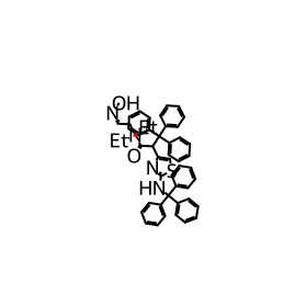 CC[N+](CC)(C/C=N\O)C(=O)C(c1csc(NC(c2ccccc2)(c2ccccc2)c2ccccc2)n1)C(c1ccccc1)(c1ccccc1)c1ccccc1